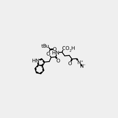 CC(C)(C)C(=O)OC(Cc1c[nH]c2ccccc12)C(=O)NC(CCC(=O)C=[N+]=[N-])C(=O)O